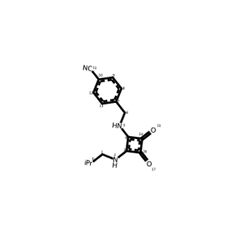 CC(C)CNc1c(NCc2ccc(C#N)cc2)c(=O)c1=O